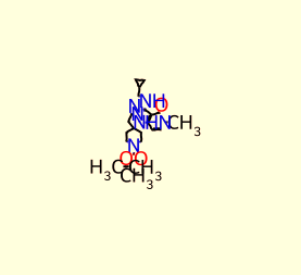 CN/C=C\c1c(C=O)c(NCC2CC2)nn1C1(CC#N)CCN(C(=O)OC(C)(C)C)CC1